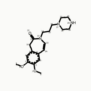 COc1cc2c(cc1OC)CC(=O)N(CCCN1CCNCC1)C=C2